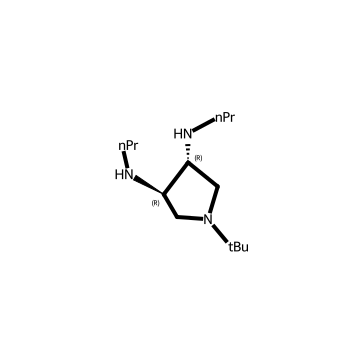 CCCN[C@@H]1CN(C(C)(C)C)C[C@H]1NCCC